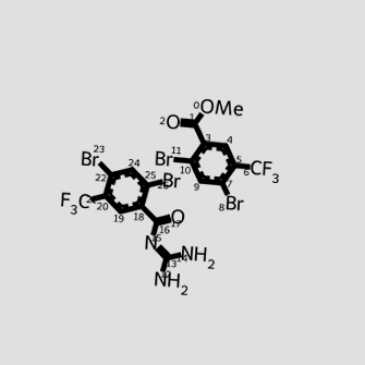 COC(=O)c1cc(C(F)(F)F)c(Br)cc1Br.NC(N)=NC(=O)c1cc(C(F)(F)F)c(Br)cc1Br